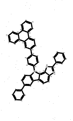 c1ccc(-c2ccc3c(c2)c2ccc4nc(-c5ccccc5)oc4c2n3-c2ccc(-c3ccc4c5ccccc5c5ccccc5c4c3)cc2)cc1